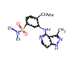 CCN(CC)S(=O)(=O)c1ccc(OC)c(Nc2nccc3[nH]nc(C)c23)c1